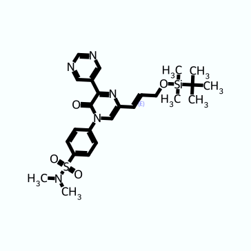 CN(C)S(=O)(=O)c1ccc(-n2cc(/C=C/CO[Si](C)(C)C(C)(C)C)nc(-c3cncnc3)c2=O)cc1